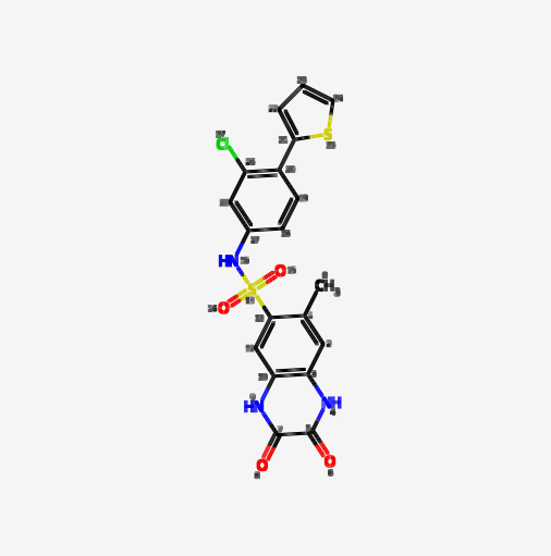 Cc1cc2[nH]c(=O)c(=O)[nH]c2cc1S(=O)(=O)Nc1ccc(-c2cccs2)c(Cl)c1